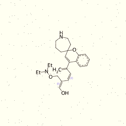 C=C(/C=C\C(=C/O)CON(CC)CC)C1=CC2(CCCNCC2)Oc2ccccc21